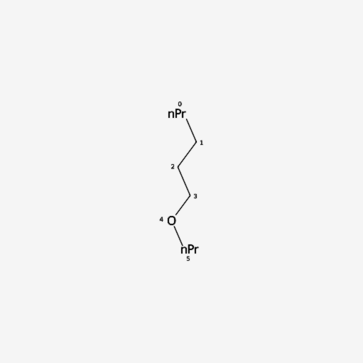 [CH2]CCCCCOCCC